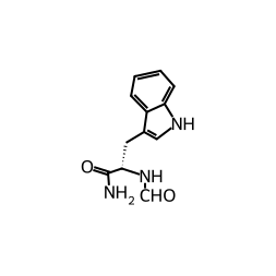 NC(=O)[C@H](Cc1c[nH]c2ccccc12)NC=O